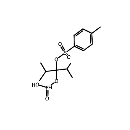 Cc1ccc(S(=O)(=O)OC(O[PH](=O)O)(C(C)C)C(C)C)cc1